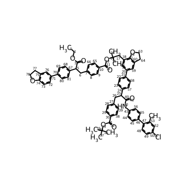 CCOC(=O)C(Cc1ccc(C(=O)OC(C)(C)Cc2cc(-c3ccc(C(Cc4ccc(C(=O)OC(C)(C)C)cc4)C(=O)Nc4ccc(-c5ccc(Cl)cc5C)cc4)cc3)cc3c2OCC3)cc1)c1ccc(-c2ccc3c(c2)CCO3)cc1